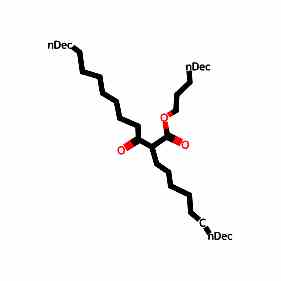 CCCCCCCCCCCCCCCCCC(=O)C(CCCCCCCCCCCCCCCC)C(=O)OCCCCCCCCCCCCC